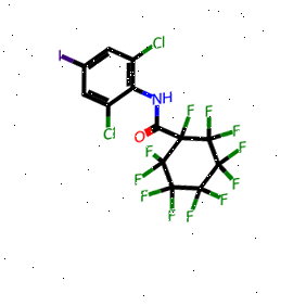 O=C(Nc1c(Cl)cc(I)cc1Cl)C1(F)C(F)(F)C(F)(F)C(F)(F)C(F)(F)C1(F)F